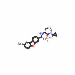 CC(C)C[C@H](N[C@@H](c1ccc2c(c1)oc1ccc(C#N)cc12)C(F)(F)F)C(=O)NC1(C#N)CC1